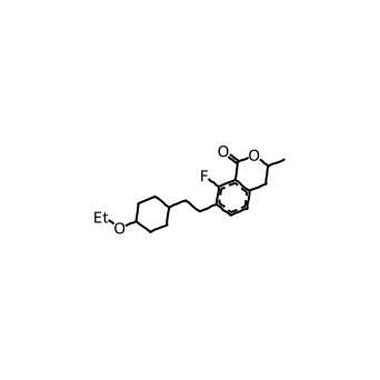 CCOC1CCC(CCc2ccc3c(c2F)C(=O)OC(C)C3)CC1